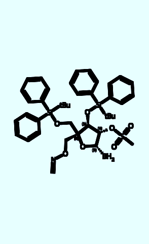 B[C@@H]1O[C@](CON=C)(CO[Si](c2ccccc2)(c2ccccc2)C(C)(C)C)[C@@H](O[Si](c2ccccc2)(c2ccccc2)C(C)(C)C)[C@@H]1OS(C)(=O)=O